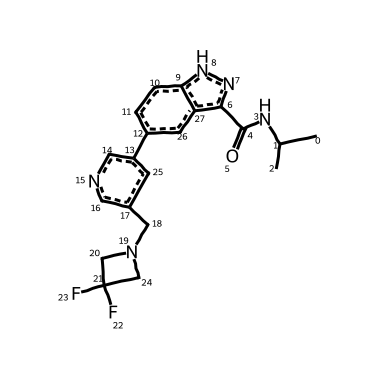 CC(C)NC(=O)c1n[nH]c2ccc(-c3cncc(CN4CC(F)(F)C4)c3)cc12